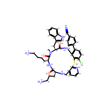 CN1C(=O)[C@H](CCCCN)NC(=O)[C@H](CCCN)NCc2cccnc2Sc2c(Cl)ccc(-c3ccc(C#N)cc3)c2CNC(=O)[C@@H]1Cc1c[nH]c2ccccc12